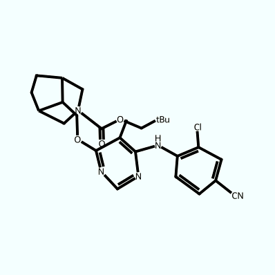 Cc1c(Nc2ccc(C#N)cc2Cl)ncnc1OCC1C2CCC1CN(C(=O)OCC(C)(C)C)C2